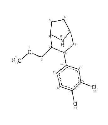 COCC1C2CCC(CC1c1ccc(Cl)c(Cl)c1)N2